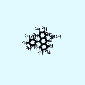 [2H]c1c([2H])c([2H])c(-c2c3c([2H])c([2H])c([2H])c([2H])c3c(OB(O)O)c3c([2H])c([2H])c([2H])c([2H])c23)c([2H])c1[2H]